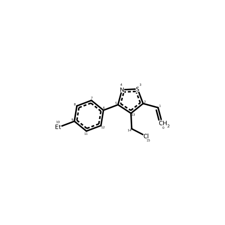 C=Cc1snc(-c2ccc(CC)cc2)c1CCl